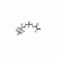 C=C(F)C(=O)OCC(C)(C)CCNS(=O)(=O)C(F)(F)F